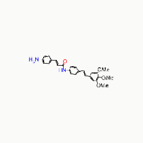 COc1cc(C=Cc2ccc(NC(=O)/C=C/c3ccc(N)cc3)cc2)cc(OC)c1OC